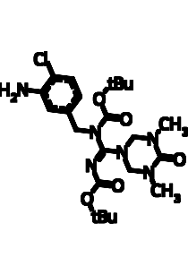 CN1CN(/C(=N\C(=O)OC(C)(C)C)N(Cc2ccc(Cl)c(N)c2)C(=O)OC(C)(C)C)CN(C)C1=O